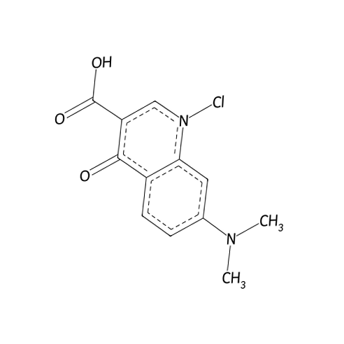 CN(C)c1ccc2c(=O)c(C(=O)O)cn(Cl)c2c1